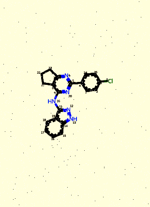 Clc1ccc(-c2nc3c(c(Nc4n[nH]c5ccccc45)n2)CCC3)cc1